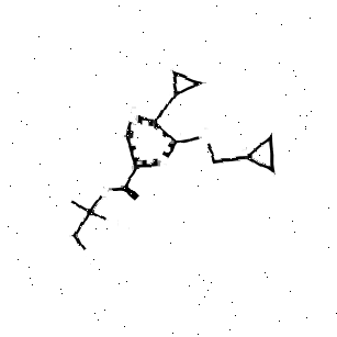 CCC(C)(CO)NC(=O)c1cnc(C2CC2)c(OCC2CC2)n1